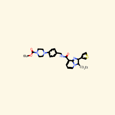 CCOC(=O)C1C(c2ccsc2)N=C2C(C(=O)NCc3ccc(N4CCN(C(=O)OC(C)(C)C)CC4)cc3)=CC=CN21